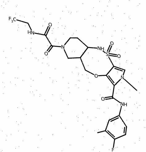 Cc1cc(NC(=O)c2c3c(cn2C)S(=O)(=O)NC2CCN(C(=O)C(=O)NCC(F)(F)F)CC2CO3)ccc1F